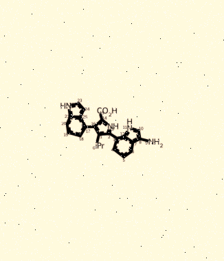 CC(C)c1c(-c2cccc3c(N)c[nH]c23)[nH]c(C(=O)O)c1-c1cccc2[nH]ccc12